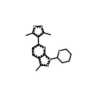 Cc1noc(C)c1-c1ccc2c(I)nn(C3CCCCO3)c2n1